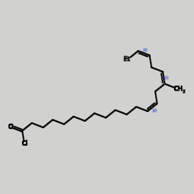 CC/C=C\C/C=C(/C)C/C=C\CCCCCCCCCCCC(=O)Cl